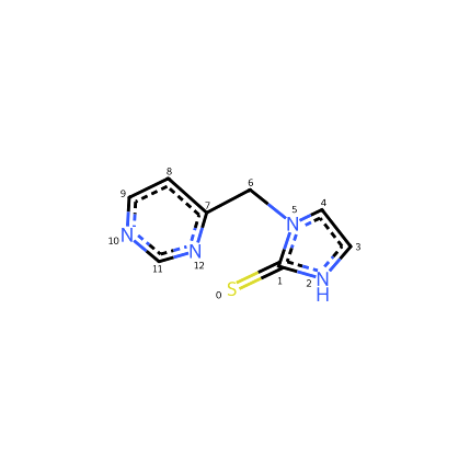 S=c1[nH]ccn1Cc1ccncn1